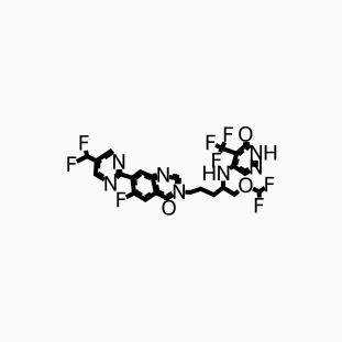 O=c1[nH]ncc(NC(CCCn2cnc3cc(-c4ncc(C(F)F)cn4)c(F)cc3c2=O)COC(F)F)c1C(F)(F)F